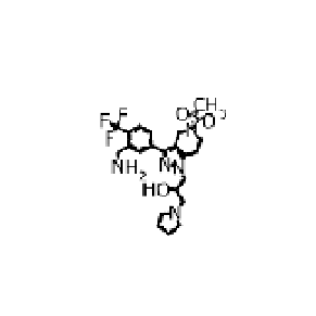 CS(=O)(=O)N1CCc2c(c(-c3ccc(C(F)(F)F)c(CN)c3)nn2CC(O)CN2CCCC2)C1